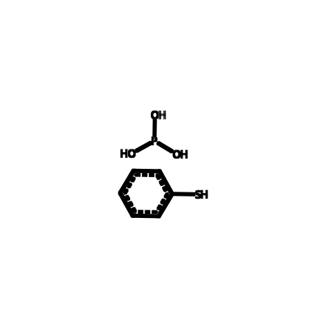 OP(O)O.Sc1ccccc1